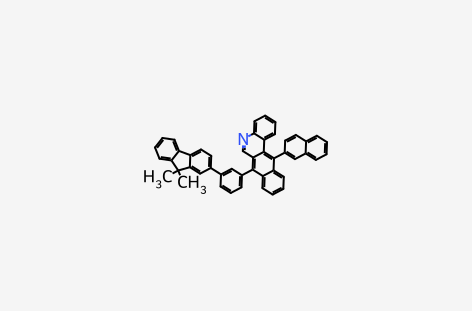 CC1(C)c2ccccc2-c2ccc(-c3cccc(-c4c5ccccc5c(-c5ccc6ccccc6c5)c5c4cnc4ccccc45)c3)cc21